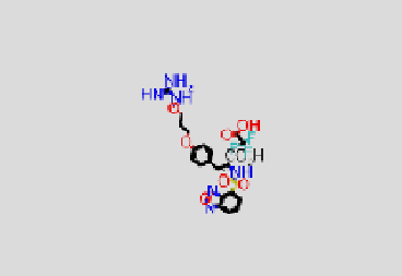 N=C(N)NOCCCOc1ccc(C[C@H](NS(=O)(=O)c2cccc3nonc23)C(=O)O)cc1.O=C(O)C(F)(F)F